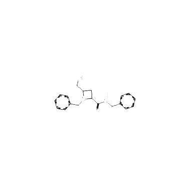 O=C(NCc1ccccc1)C1CC(CO)N1Cc1ccccc1